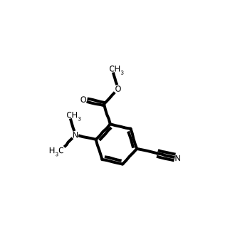 COC(=O)c1cc(C#N)ccc1N(C)C